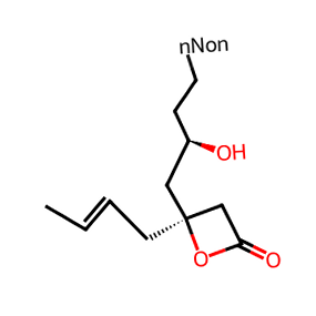 C/C=C/C[C@]1(C[C@H](O)CCCCCCCCCCC)CC(=O)O1